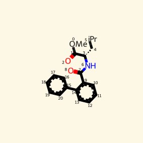 COC(=O)[C@H](CC(C)C)NC(=O)c1ccccc1-c1ccccc1